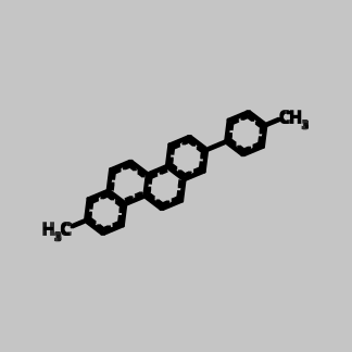 Cc1ccc(-c2ccc3c(ccc4c5ccc(C)cc5ccc34)c2)cc1